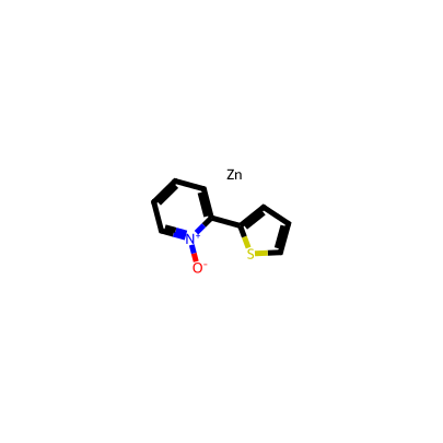 [O-][n+]1ccccc1-c1cccs1.[Zn]